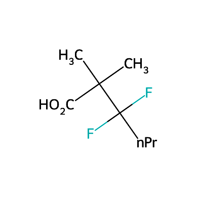 CCCC(F)(F)C(C)(C)C(=O)O